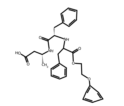 C[C@H](CC(=O)O)NC(=O)[C@H](Cc1ccccc1)NC(Cc1ccccc1)C(=O)OCCOc1ccccc1